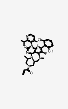 C=CC(=O)N1CC(C)N2c3nc(=O)n(-c4c(C)ccnc4C(C)C)c4nc(-c5c(O)cccc5Cl)c(F)c(c34)N(C)CC2C1